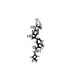 CC(Nc1ncc2c(-c3ccn4ncc(C(=O)NCC5CC(F)(F)C5)c4c3)c[nH]c2n1)C(F)(F)F